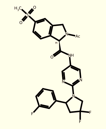 CC(=O)N1Cc2cc(S(C)(=O)=O)ccc2[C@@H]1C(=O)Nc1cnc(N2CC(F)(F)CC2c2cccc(F)c2)nc1